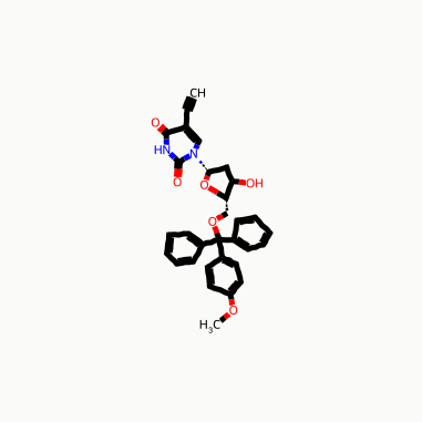 C#Cc1cn([C@@H]2CC(O)[C@H](COC(c3ccccc3)(c3ccccc3)c3ccc(OC)cc3)O2)c(=O)[nH]c1=O